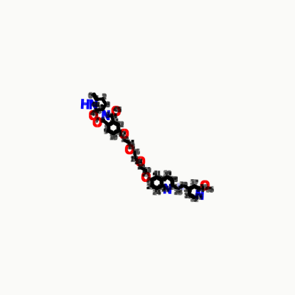 C=C1CCC(N2C(=O)c3ccc(OCCOCCOCCOc4ccc5nc(/C=C/c6ccnc(OC)c6)ccc5c4)cc3C2=O)C(=O)N1